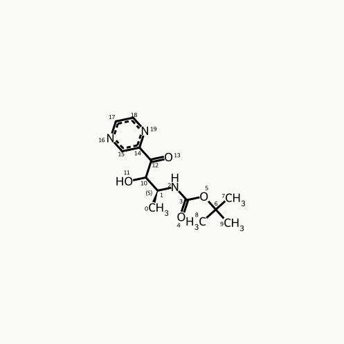 C[C@H](NC(=O)OC(C)(C)C)C(O)C(=O)c1cnccn1